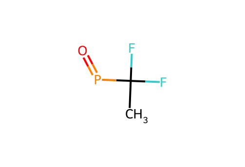 CC(F)(F)P=O